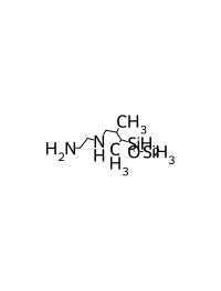 CC(CNCCN)C(C)[SiH2]O[SiH3]